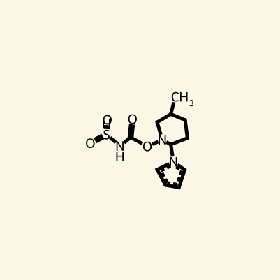 CC1CCC(n2cccc2)N(OC(=O)N[SH](=O)=O)C1